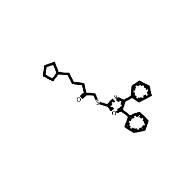 O=C(CCCC1CCCC1)CSc1nc(-c2ccccc2)c(-c2ccccc2)o1